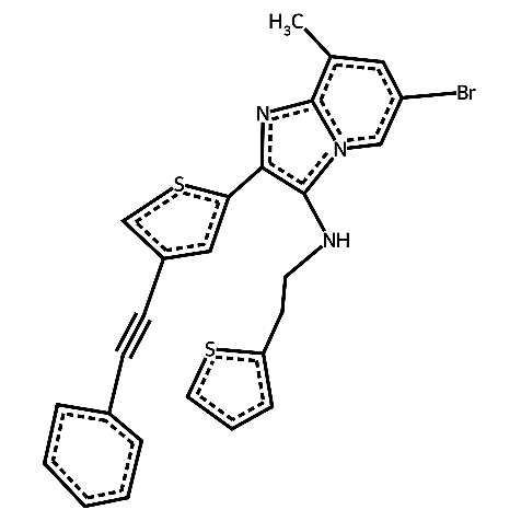 Cc1cc(Br)cn2c(NCCc3cccs3)c(-c3cc(C#Cc4ccccc4)cs3)nc12